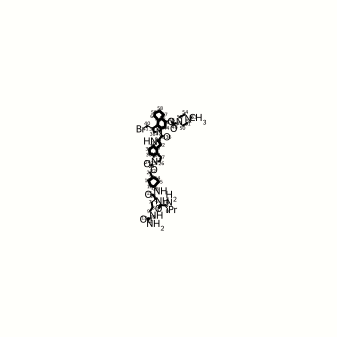 CC(C)[C@H](N)C(=O)N[C@@H](CCCNC(N)=O)C(=O)Nc1ccc(COC(=O)N2CCc3c2ccc2[nH]c(C(=O)N4C[C@@H](CBr)c5c4cc(OC(=O)N4CCN(C)CC4)c4ccccc54)cc32)cc1